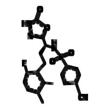 Cc1ccc(F)c(CC[C@H](NS(=O)(=O)c2ccc(C#N)cc2)c2n[nH]c(=O)o2)c1C